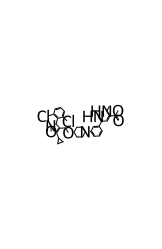 CN/C(=C\C(=N)c1cccc(N2CCC(OCc3c(-c4c(Cl)cccc4Cl)noc3C3CC3)CC2)c1)C(=O)OC